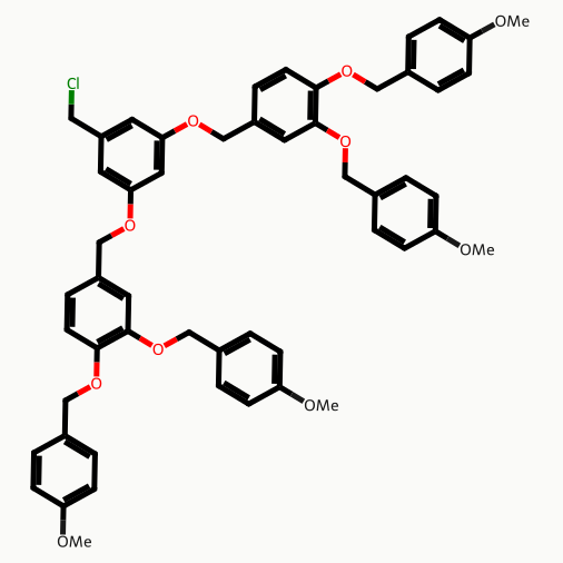 COc1ccc(COc2ccc(COc3cc(CCl)cc(OCc4ccc(OCc5ccc(OC)cc5)c(OCc5ccc(OC)cc5)c4)c3)cc2OCc2ccc(OC)cc2)cc1